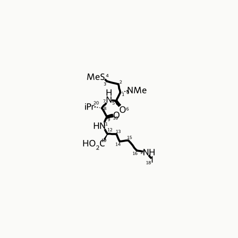 CN[C@@H](CCSC)C(=O)N[C@H](C(=O)N[C@@H](CCCCNI)C(=O)O)C(C)C